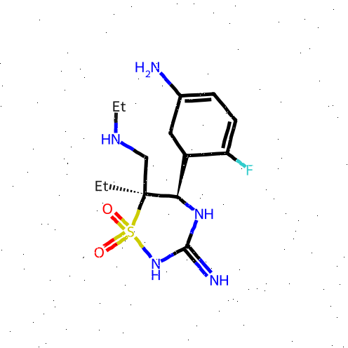 CCNC[C@@]1(CC)[C@@H](C2CC(N)=CC=C2F)NC(=N)NS1(=O)=O